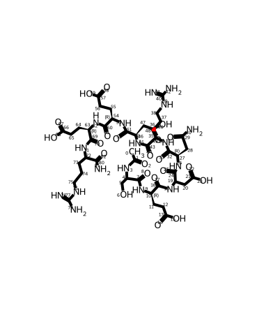 CC(=O)NC(CO)C(=O)N[C@H](CCC(=O)O)C(=O)NC(CC(=O)O)C(=O)N[C@H](CC(N)=O)C(=O)NC(CCCNC(=N)N)C(=O)N[C@H](CC(=O)O)C(=O)N[C@H](CCC(=O)O)C(=O)N[C@H](CCC(=O)O)C(=O)NC(CCCNC(=N)N)C(N)=O